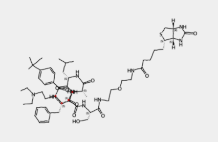 CCN(CC)CCCC[C@H](NC(=O)[C@H](CC(C)C)NC(=O)[C@H](C)NC(=O)[C@H](Cc1ccccc1)NC(=O)c1ccc(C(C)(C)C)cc1)C(=O)N[C@@H](CO)C(=O)NCCOCCNC(=O)CCCC[C@@H]1SC[C@@H]2NC(=O)N[C@@H]21